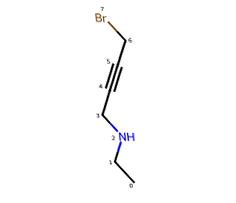 CCNCC#CCBr